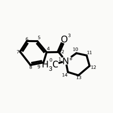 C[N+]1(C(=O)c2ccccc2)CCCCC1